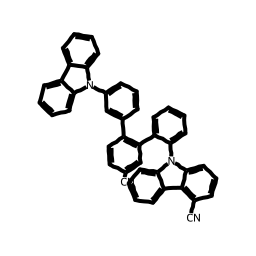 N#Cc1ccc(-c2cccc(-n3c4ccccc4c4ccccc43)c2)c(-c2ccccc2-n2c3ccccc3c3c(C#N)cccc32)c1